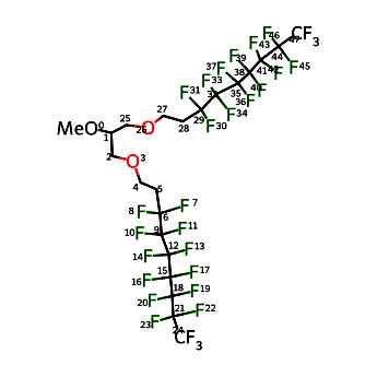 COC(COCCC(F)(F)C(F)(F)C(F)(F)C(F)(F)C(F)(F)C(F)(F)C(F)(F)F)COCCC(F)(F)C(F)(F)C(F)(F)C(F)(F)C(F)(F)C(F)(F)C(F)(F)F